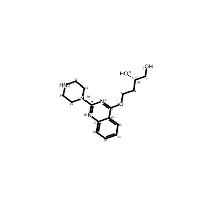 OC[C@@H](O)CCOc1nc(N2CCNCC2)nc2ccccc12